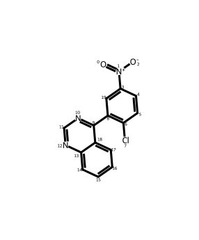 O=[N+]([O-])c1ccc(Cl)c(-c2ncnc3ccccc23)c1